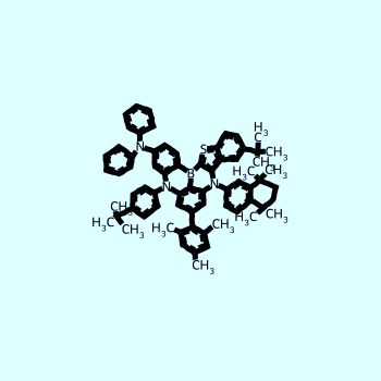 Cc1cc(C)c(-c2cc3c4c(c2)N(c2ccc5c(c2)C(C)(C)CCC5(C)C)c2c(sc5ccc(C(C)(C)C)cc25)B4c2ccc(N(c4ccccc4)c4ccccc4)cc2N3c2ccc(C(C)(C)C)cc2)c(C)c1